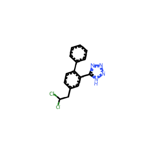 ClC(Cl)Cc1ccc(-c2ccccc2)c(-c2nnn[nH]2)c1